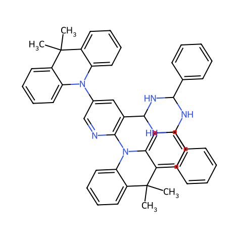 CC1(C)c2ccccc2N(c2cnc(N3c4ccccc4C(C)(C)c4ccccc43)c(C3NC(c4ccccc4)NC(c4ccccc4)N3)c2)c2ccccc21